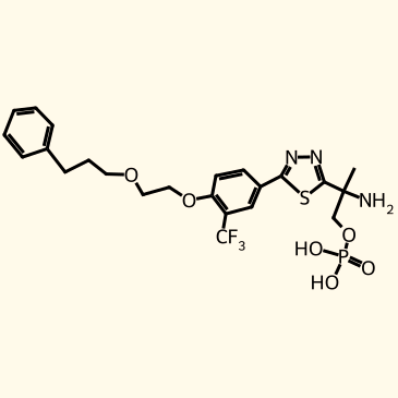 CC(N)(COP(=O)(O)O)c1nnc(-c2ccc(OCCOCCCc3ccccc3)c(C(F)(F)F)c2)s1